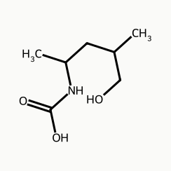 CC(CO)CC(C)NC(=O)O